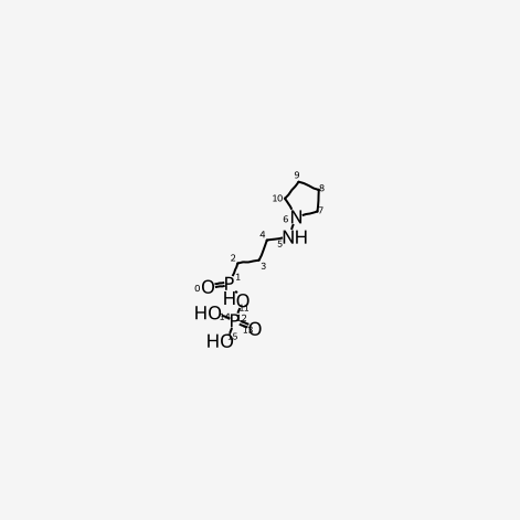 O=[PH](CCCNN1CCCC1)OP(=O)(O)O